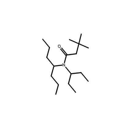 CCCC(CCC)N(C(=O)CC(C)(C)C)C(CC)CC